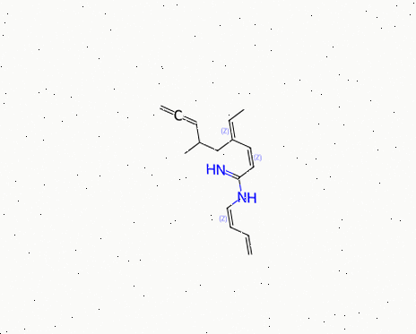 C=C=CC(C)CC(/C=C\C(=N)N/C=C\C=C)=C/C